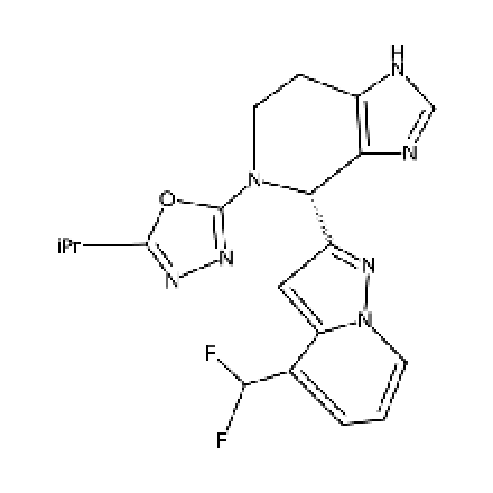 CC(C)c1nnc(N2CCc3[nH]cnc3[C@@H]2c2cc3c(C(F)F)cccn3n2)o1